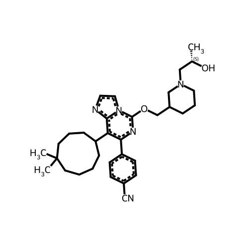 C[C@H](O)CN1CCCC(COc2nc(-c3ccc(C#N)cc3)c(C3CCCCC(C)(C)CCC3)c3nccn23)C1